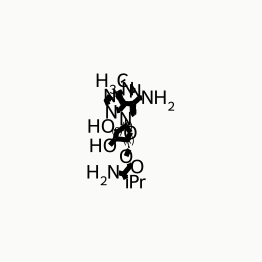 CC(C)C(N)C(=O)OC[C@H]1O[C@@H](n2cc3c4c(ncnc42)N(C)N=C3N)[C@@H](O)C1O